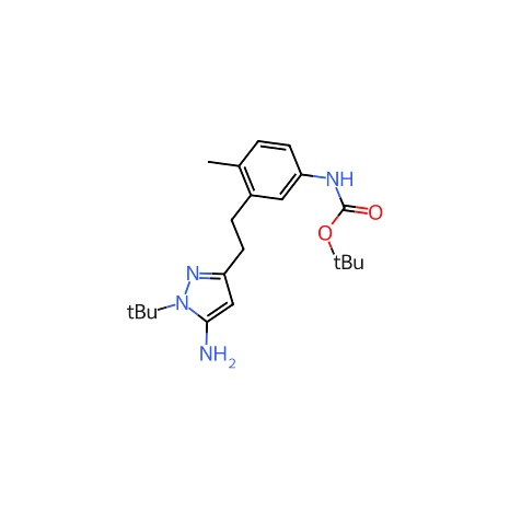 Cc1ccc(NC(=O)OC(C)(C)C)cc1CCc1cc(N)n(C(C)(C)C)n1